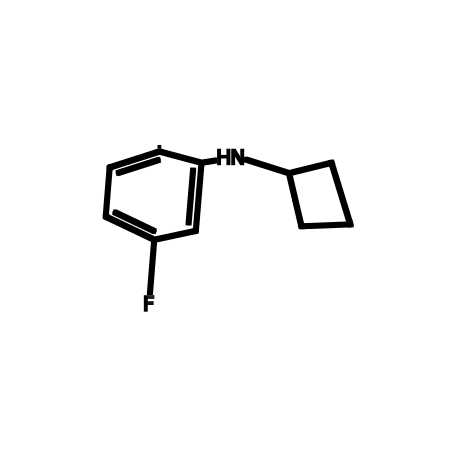 Fc1cc[c]c(NC2CCC2)c1